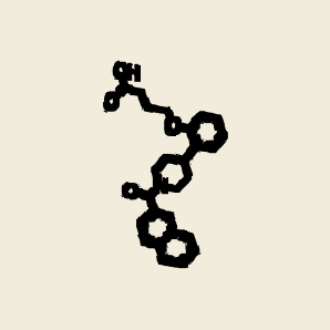 O=C(O)CCCOc1ccccc1C1CCN(C(=O)c2ccc3ccccc3c2)CC1